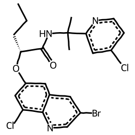 CCC[C@@H](Oc1cc(Cl)c2ncc(Br)cc2c1)C(=O)NC(C)(C)c1cc(Cl)ccn1